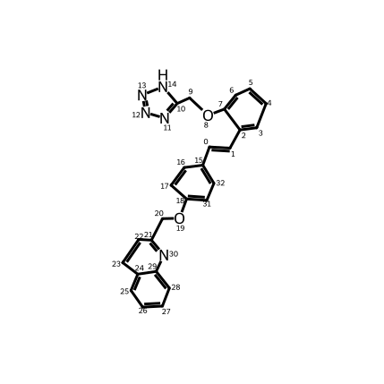 C(=Cc1ccccc1OCc1nnn[nH]1)c1ccc(OCc2ccc3ccccc3n2)cc1